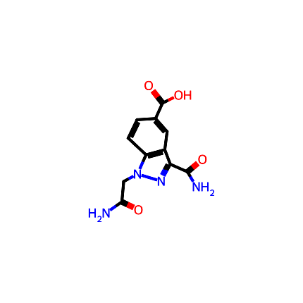 NC(=O)Cn1nc(C(N)=O)c2cc(C(=O)O)ccc21